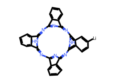 [Li][c]1ccc2c3nc4nc(nc5[nH]c(nc6nc(nc([nH]3)c2c1)-c1ccccc1-6)c1ccccc51)-c1ccccc1-4